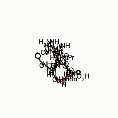 CCCC[C@@H]1NC(=O)[C@@H]2CCCN2C(=O)CNC(=O)[C@H](CCCCCNC(=O)CCC2C3CCC#CCCC32)NC(=O)[C@H](Cc2c[nH]cn2)NC(=O)[C@@H](NC(=O)[C@H](CC(C)C)NC(=O)[C@H](CCCNC(=N)N)NC(=O)[C@@H]2CCCN2C(=O)[C@H](CCCNC(=N)N)NC(=O)[C@@H]2CCC(=O)N2)CSSC[C@@H](C(=O)N[C@@H](Cc2ccccc2)C(=O)O)NC1=O